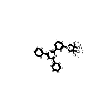 CC1(C)CB(c2cccc(-c3nc(-c4ccccc4)cc(-c4ccccc4)n3)c2)CC1(C)C